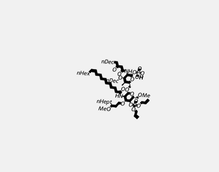 C=CCOP(=O)(OCC=C)O[C@H]1[C@H](OCC[C@@H](CCCCCCC)OC)[C@@H](NC(=O)CCCCCCCCC/C=C\CCCCCC)[C@H](OC[C@H]2O[C@H](OP(=O)(O)O)[C@H](NC(=O)CC(=O)CCCCCCCCCCC)[C@@H](OCCCCCCCCCC)[C@@H]2C)O[C@@H]1COC